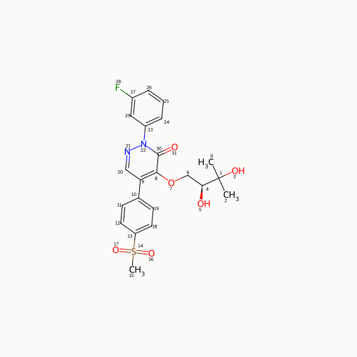 CC(C)(O)[C@@H](O)COc1c(-c2ccc(S(C)(=O)=O)cc2)cnn(-c2cccc(F)c2)c1=O